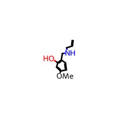 C=CCNCc1ccc(OC)cc1O